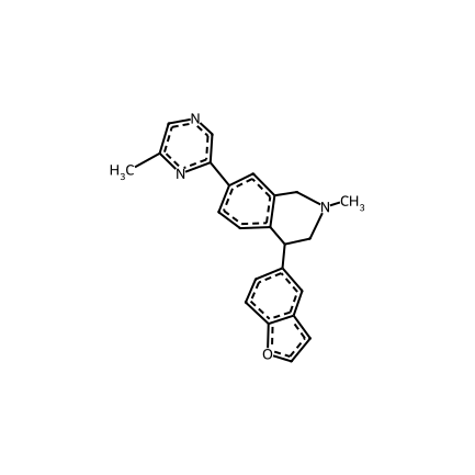 Cc1cncc(-c2ccc3c(c2)CN(C)CC3c2ccc3occc3c2)n1